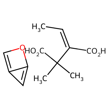 CC=C(C(=O)O)C(C)(C)C(=O)O.c1oc2cc1-2